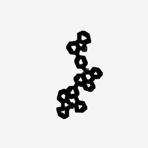 c1ccc(-c2ccccc2N(c2ccc(-c3cccc(-c4ccccc4-n4c5ccccc5c5ccccc54)c3)cc2)c2ccc(-c3cccc4c3oc3ccccc34)cc2)cc1